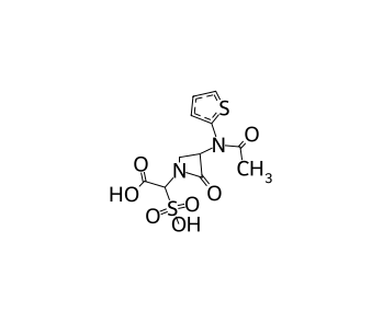 CC(=O)N(c1cccs1)C1CN(C(C(=O)O)S(=O)(=O)O)C1=O